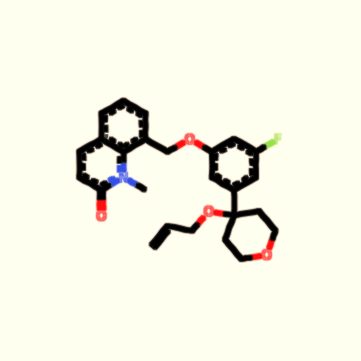 C=CCOC1(c2cc(F)cc(OCc3cccc4ccc(=O)n(C)c34)c2)CCOCC1